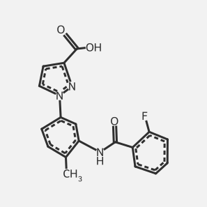 Cc1ccc(-n2ccc(C(=O)O)n2)cc1NC(=O)c1ccccc1F